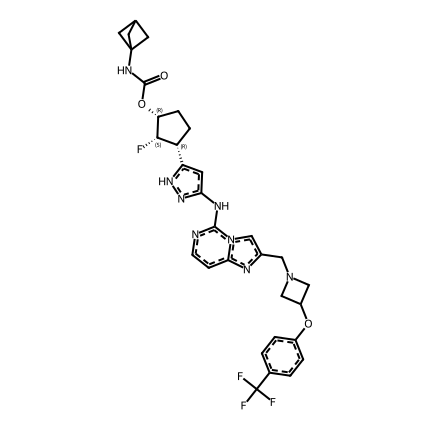 O=C(NC12CC(C1)C2)O[C@@H]1CC[C@H](c2cc(Nc3nccc4nc(CN5CC(Oc6ccc(C(F)(F)F)cc6)C5)cn34)n[nH]2)[C@@H]1F